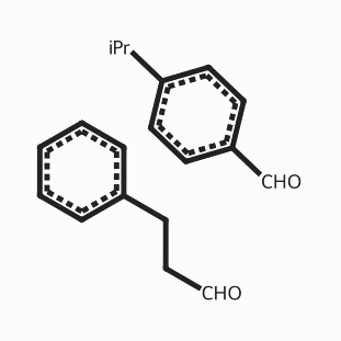 CC(C)c1ccc(C=O)cc1.O=CCCc1ccccc1